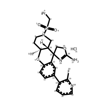 CC(C)CS(=O)(=O)N1CC[C@@H]2Oc3ccc(-c4cccnc4F)cc3C3(COC(N)=N3)[C@H]2C1.Cl